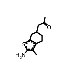 CC(=O)CC1CCc2c(sc(N)c2C)C1